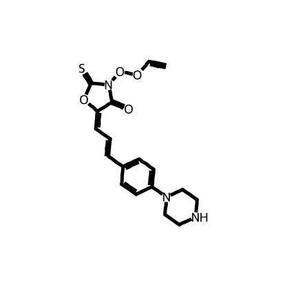 C=COON1C(=O)/C(=C\C=C\c2ccc(N3CCNCC3)cc2)OC1=S